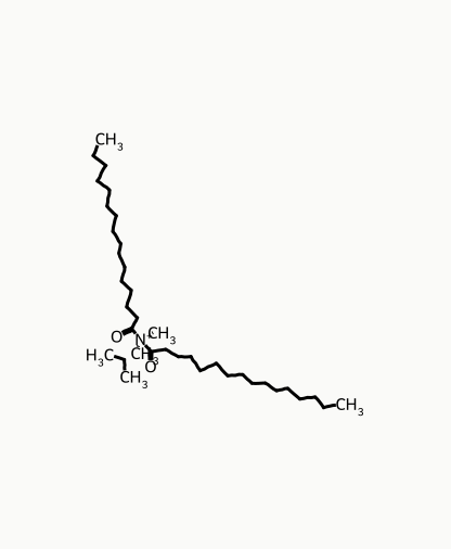 CCC.CCCCCCCCCCCCCCCC(=O)[N+](C)(C)C(=O)CCCCCCCCCCCCCCC